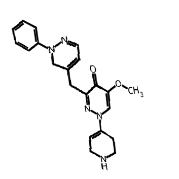 COc1cn(C2=CCNCC2)nc(CC2=CC=NN(c3ccccc3)C2)c1=O